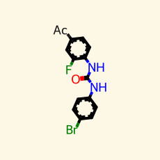 CC(=O)c1ccc(NC(=O)Nc2ccc(Br)cc2)c(F)c1